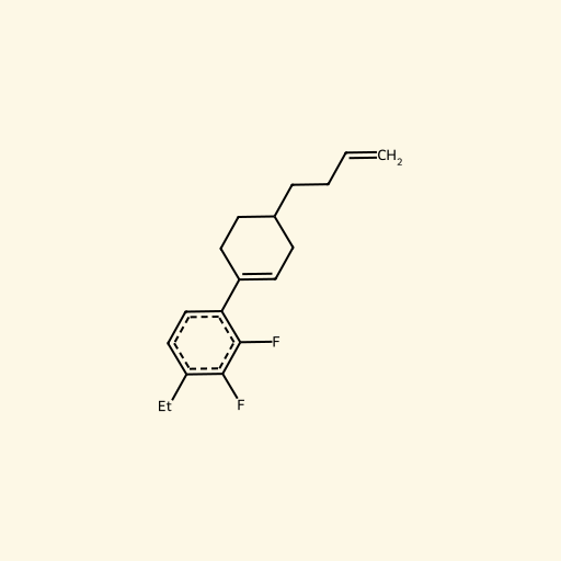 C=CCCC1CC=C(c2ccc(CC)c(F)c2F)CC1